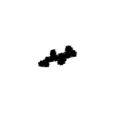 c1cc(-c2ccc3c4ccc(-c5ccc(-c6ccc7c8ccccc8c8ccccc8c7c6)c6sc7ccccc7c56)cc4c4ccccc4c3c2)cc(-c2cccc3c2sc2ccccc23)c1